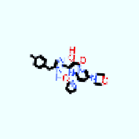 Cc1ccc(Cc2cnc(-c3nc4c(N5CCCC5=O)cc(N5CCOCC5)cn4c(=O)c3O)[nH]2)cc1